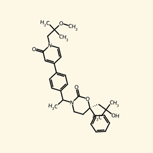 COC(C)(C)Cn1ccc(-c2ccc(C(C)N3CC[C@](CC(C)(C)O)(c4ccccc4)OC3=O)cc2)cc1=O